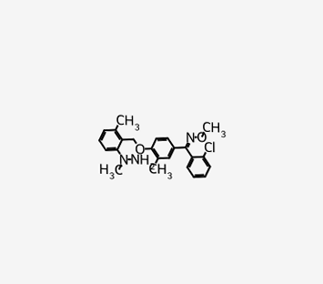 CON=C(c1ccc(OCc2c(C)cccc2N(C)N)c(C)c1)c1ccccc1Cl